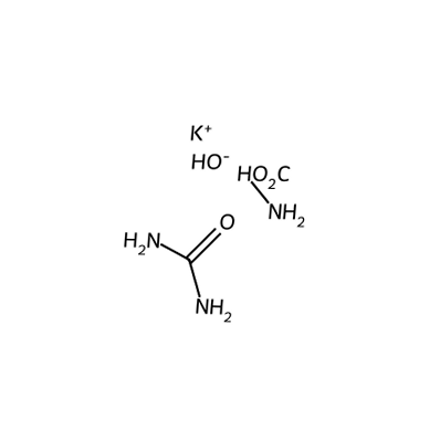 NC(=O)O.NC(N)=O.[K+].[OH-]